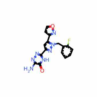 Nc1nnc(-c2cc(-c3ccon3)n(Cc3ccccc3F)n2)[nH]c1=O